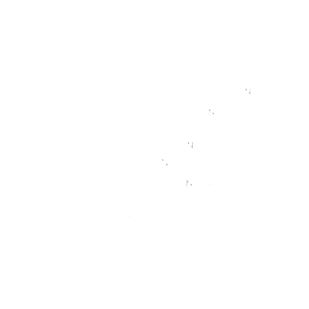 Cn1c(N2CCCC(C(=O)C3CCCCC3)C2)nc(-c2ccncn2)cc1=O